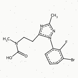 Cc1nc(CCN(C)C(=O)O)n(-c2cccc(Br)c2F)n1